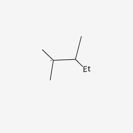 CCC(C)[C](C)C